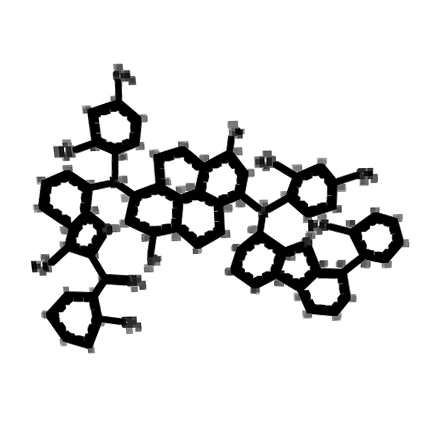 C=C(c1ccccc1C)c1oc2c(N(c3ccc(C)cc3C)c3cc(C(C)C)c4ccc5c(N(c6ccc(C)cc6C)c6cccc7c6oc6c(-c8ccccc8C)cccc67)cc(C(C)C)c6ccc3c4c65)cccc2c1C